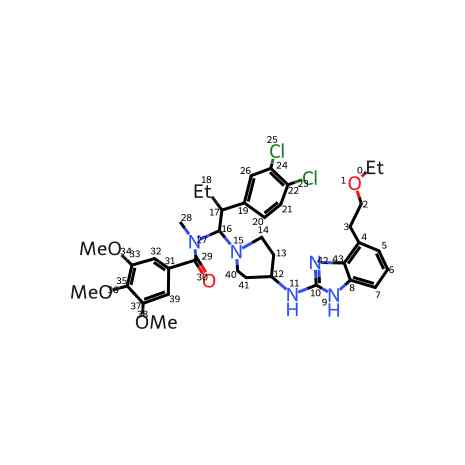 CCOCCc1cccc2[nH]c(NC3CCN(C(C(CC)c4ccc(Cl)c(Cl)c4)N(C)C(=O)c4cc(OC)c(OC)c(OC)c4)CC3)nc12